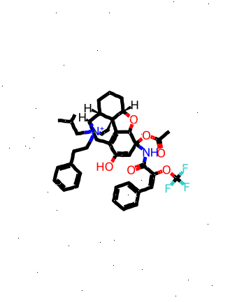 CC(=O)OC1(NC(=O)C(=Cc2ccccc2)OC(F)(F)F)C=C(O)C2=C3C1O[C@H]1CCC[C@H]4[C@@H](C2)[N+](CCc2ccccc2)(CC(C)C)CC[C@]314